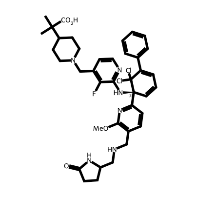 COc1nc([C@@]2(Nc3nccc(CN4CCC(C(C)(C)C(=O)O)CC4)c3F)C=CC=C(c3ccccc3)C2(Cl)Cl)ccc1CNCC1CCC(=O)N1